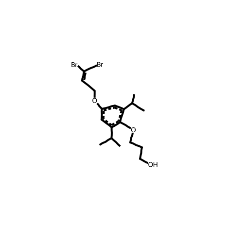 CC(C)c1cc(OCC=C(Br)Br)cc(C(C)C)c1OCCCO